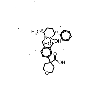 C[C@H]1CC[C@H](c2ccccc2)S(O)(O)N1Cc1ccc(C2(C(=O)O)CCOCC2)cc1F